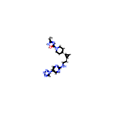 CC(C)c1noc(N2CCC([C@@H]3C[C@H]3CCNc3ncc(-n4cnnn4)cn3)CC2)n1